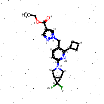 CCOC(=O)c1cnn(Cc2ccc(N3CC4C(C3)C4(F)F)nc2C2CCC2)c1